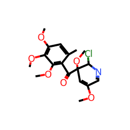 COC1=CC(OC)(C(=O)c2c(C)cc(OC)c(OC)c2OC)C(Cl)N=C1